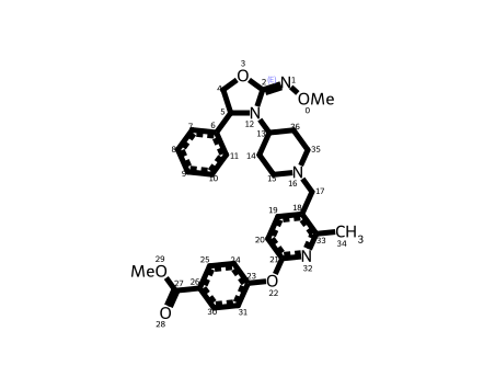 CO/N=C1/OCC(c2ccccc2)N1C1CCN(Cc2ccc(Oc3ccc(C(=O)OC)cc3)nc2C)CC1